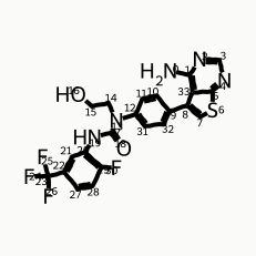 Nc1ncnc2scc(-c3ccc(N(CCO)C(=O)Nc4cc(C(F)(F)F)ccc4F)cc3)c12